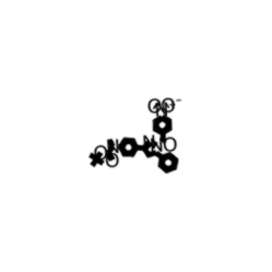 CN(C(=O)OC(C)(C)C)c1ccc(C2=NN(C(=O)c3ccc([N+](=O)[O-])cc3)C(c3ccccc3)C2)cc1